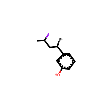 CC(I)CC(c1cccc(O)c1)C(C)C